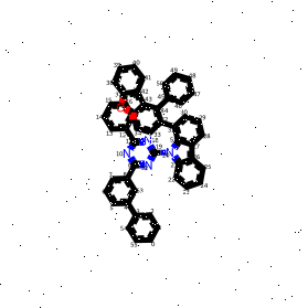 c1ccc(-c2cccc(-c3nc(-c4ccccc4)nc(-n4c5ccccc5c5cccc(-c6ccc7oc8ccccc8c7c6-c6ccccc6)c54)n3)c2)cc1